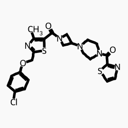 Cc1nc(COc2ccc(Cl)cc2)sc1C(=O)N1CC(N2CCN(C(=O)c3nccs3)CC2)C1